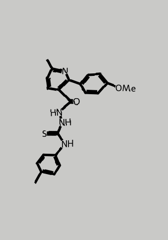 COc1ccc(-c2nc(C)ccc2C(=O)NNC(=S)Nc2ccc(C)cc2)cc1